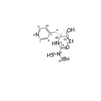 CC[C@H](O)[C@@H](Cc1ccncc1)NC(=O)N(S)C(C)(C)C